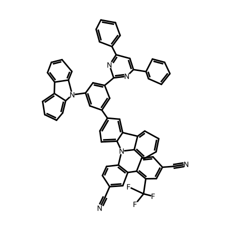 N#Cc1ccc(-n2c3ccccc3c3cc(-c4cc(-c5nc(-c6ccccc6)cc(-c6ccccc6)n5)cc(-n5c6ccccc6c6ccccc65)c4)ccc32)c(-c2ccc(C#N)cc2C(F)(F)F)c1